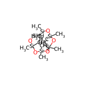 C[SiH](C)O[Si](C)(C)O[Si](C)(C)O[Si](C)(C)O[Si](C)(C)O[SiH3]